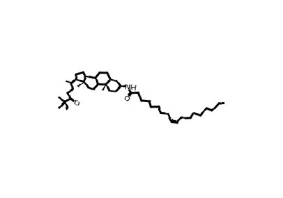 CCCCCCCC/C=C\CCCCCCCC(=O)NC1CC[C@@]2(C)C(CCC3C4CCC(C(C)CCC(=O)C(C)(C)C)[C@@]4(C)CCC32)C1